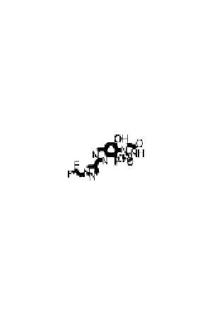 O=C1CN(c2c(O)cc3cnc(-c4cnn(CC(F)F)c4)nc3c2F)S(=O)(=O)N1